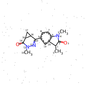 CC1C(=O)N(C)c2ccc(C3=NN(C)C(=O)C4CC34)cc21